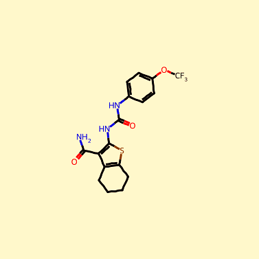 NC(=O)c1c(NC(=O)Nc2ccc(OC(F)(F)F)cc2)sc2c1CCCC2